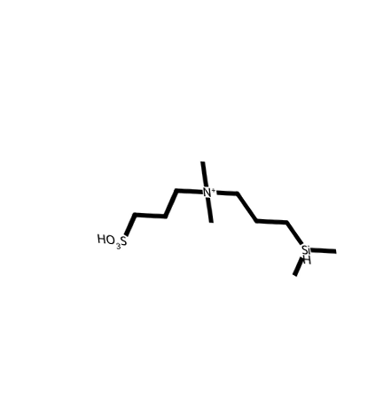 C[SiH](C)CCC[N+](C)(C)CCCS(=O)(=O)O